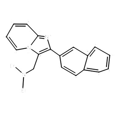 CCN(CC)Cc1c(-c2ccc3ccccc3c2)nc2ccccn12